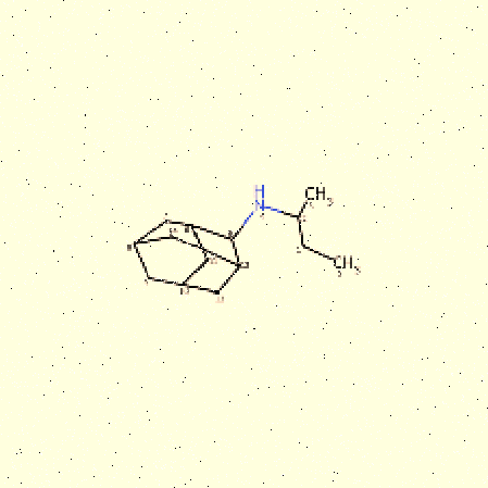 CCC(C)NC1C2CC3CC(C2)CC1C3